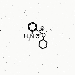 Nc1ccccc1S(=O)(=O)OC1CCCCC1